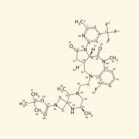 Cc1cc(C(F)(F)F)cc(N2C(=O)C[C@@H]3CN(CCN4C[C@@H](C)NC5(CN(C(=O)OC(C)(C)C)C5)C4C)c4c(F)cccc4N(C)C(=O)[C@H]32)n1